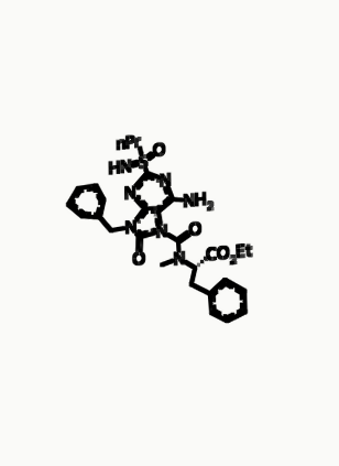 CCCS(=N)(=O)c1nc(N)c2c(n1)n(Cc1ccccc1)c(=O)n2C(=O)N(C)[C@@H](Cc1ccccc1)C(=O)OCC